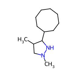 CC1CN(C)NC1C1CCCCCCC1